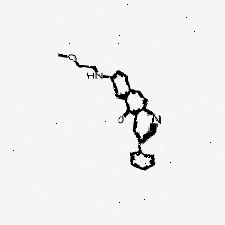 COCCNc1ccc2ccc3ncc(-c4ccccc4)cc3c(=O)c2c1